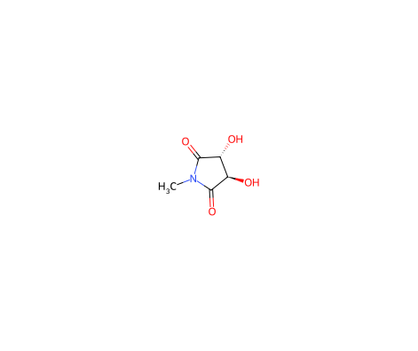 CN1C(=O)[C@H](O)[C@@H](O)C1=O